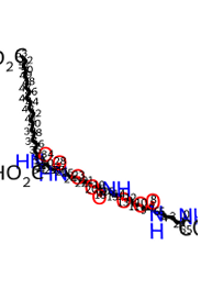 N[C@@H](CCCCNC(=O)COCCOCCNC(=O)COCCOCCNC(=O)CC[C@H](NC(=O)CCCCCCCCCCCCCCCCCCC(=O)O)C(=O)O)C(=O)O